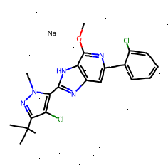 COc1nc(-c2ccccc2Cl)cc2nc(-c3c(Cl)c(C(C)(C)C)nn3C)[nH]c12.[Na]